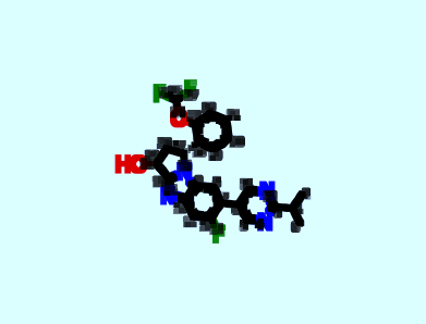 CC(C)c1ncc(-c2cc3c(cc2F)nc2n3[C@@H](c3ccccc3OC(F)F)C[C@H]2O)cn1